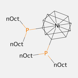 CCCCCCCCP(CCCCCCCC)[C]12[CH]3[CH]4[CH]5[C]1(P(CCCCCCCC)CCCCCCCC)[Ni]43521678[CH]2[CH]1[CH]6[CH]7[CH]28